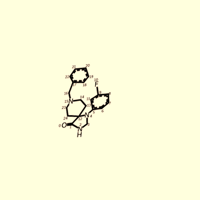 O=C1NCN(c2cccc(F)c2)C12CCN(Cc1ccccc1)CC2